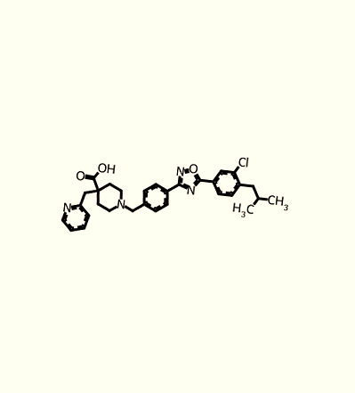 CC(C)Cc1ccc(-c2nc(-c3ccc(CN4CCC(Cc5ccccn5)(C(=O)O)CC4)cc3)no2)cc1Cl